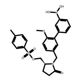 COc1ccc(CN2C(=O)CC[C@H]2COS(=O)(=O)c2ccc(C)cc2)cc1-c1cccc(N(O)O)c1